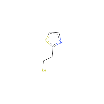 SCCc1nccs1